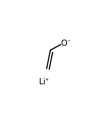 C=C[O-].[Li+]